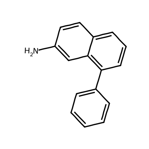 Nc1ccc2cccc(-c3ccccc3)c2c1